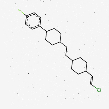 Fc1ccc(C2CCC(CCC3CCC(/C=C/Cl)CC3)CC2)cc1